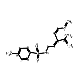 C=N/C=C\C(=C/CNS(=O)(=O)c1ccc(C)cc1)C(=C)N